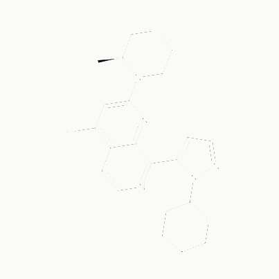 C[C@H]1COCCN1c1cc(O)c2ccnc(-c3ccnn3C3CCCCO3)c2n1